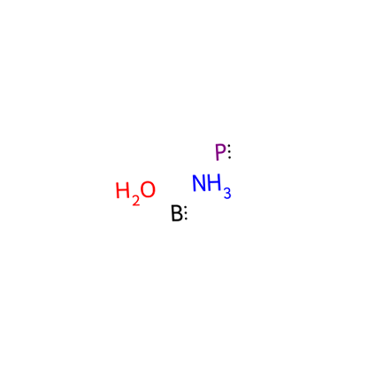 N.O.[B].[P]